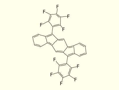 Fc1c(F)c(F)c(C2=c3ccccc3=c3cc4c(cc32)=c2ccccc2=C4c2c(F)c(F)c(F)c(F)c2F)c(F)c1F